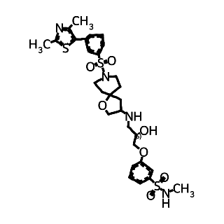 CNS(=O)(=O)c1cccc(OC[C@@H](O)CNC2COC3(CCN(S(=O)(=O)c4cccc(-c5sc(C)nc5C)c4)CC3)C2)c1